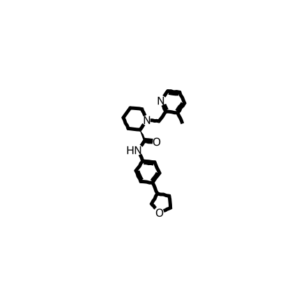 Cc1cccnc1CN1CCCC[C@@H]1C(=O)Nc1ccc(C2CCOC2)cc1